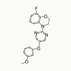 COc1cccc(Oc2cnc(N3CCOc4c(F)cccc43)nc2)c1